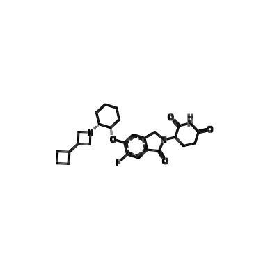 O=C1CCC(N2Cc3cc(O[C@H]4CCCC[C@H]4N4CC(C5CCC5)C4)c(F)cc3C2=O)C(=O)N1